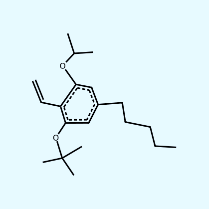 C=Cc1c(OC(C)C)cc(CCCCC)cc1OC(C)(C)C